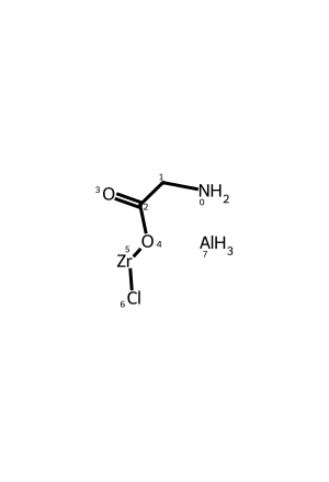 NCC(=O)[O][Zr][Cl].[AlH3]